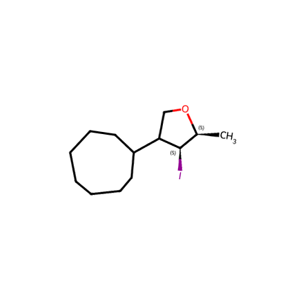 C[C@@H]1OCC(C2CCCCCCC2)[C@@H]1I